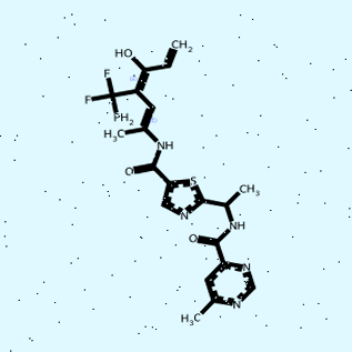 C=C/C(O)=C(\C=C(/C)NC(=O)c1cnc(C(C)NC(=O)c2cc(C)ncn2)s1)C(F)(F)P